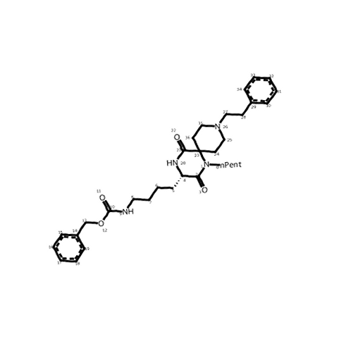 CCCCCN1C(=O)[C@H](CCCCNC(=O)OCc2ccccc2)NC(=O)C12CCN(CCc1ccccc1)CC2